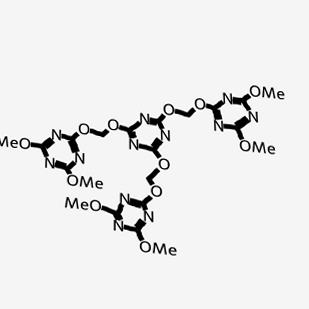 COc1nc(OC)nc(OCOc2nc(OCOc3nc(OC)nc(OC)n3)nc(OCOc3nc(OC)nc(OC)n3)n2)n1